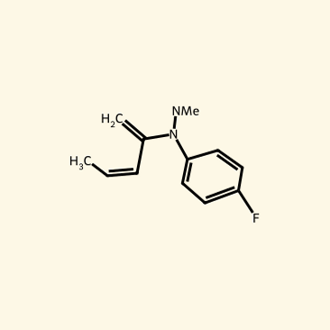 C=C(/C=C\C)N(NC)c1ccc(F)cc1